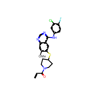 C=CC(=O)N1CCC(Sc2cc3c(Nc4ccc(F)c(Cl)c4)ncnc3cc2OC)CC1